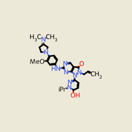 C=CCn1c(=O)c2cnc(Nc3ccc(N4CC[C@H](N(C)C)C4)c(OC)c3)nc2n1C1=NN(C(C)C)C(O)C=C1